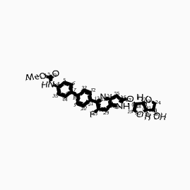 COC(=O)Nc1ccc(-c2ccc(-c3nc4cc(O[C@@H]5CO[C@H]6[C@@H]5OC[C@H]6O)[nH]c4cc3F)cc2)cc1